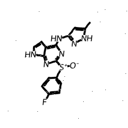 Cc1cc(Nc2nc([S+]([O-])c3ccc(F)cc3)nc3[nH]ccc23)n[nH]1